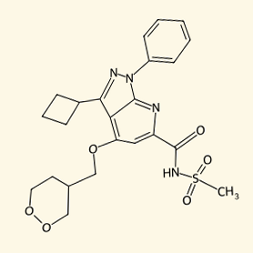 CS(=O)(=O)NC(=O)c1cc(OCC2CCOOC2)c2c(C3CCC3)nn(-c3ccccc3)c2n1